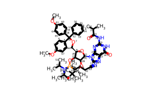 COc1ccc(C(OC[C@H]2O[C@@H](n3cnc4c(=O)[nH]c(NC(=O)C(C)C)nc43)C(O[Si](C)(C)C(C)(C)C)C2OP(CCCC#N)N(C(C)C)C(C)C)(c2ccccc2)c2ccc(OC)cc2)cc1